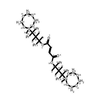 CC(C)C(C)(OC(=O)C=CC(=O)OC(C)(C(C)C)C(C)(C)C(C(C)C)(C(C)C)[Si]1(C)O[SiH2]O[SiH2]O[SiH2]O1)C(C)(C)C(C(C)C)(C(C)C)[Si]1(C)O[SiH2]O[SiH2]O[SiH2]O1